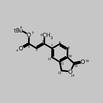 CC(=CC(=O)OC(C)(C)C)c1ccc2c(c1)COC2=O